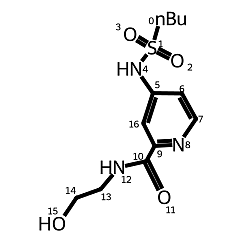 CCCCS(=O)(=O)Nc1ccnc(C(=O)NCCO)c1